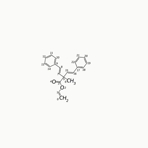 C=COC(=O)C(C)(C=Cc1ccccc1)C=Cc1ccccc1